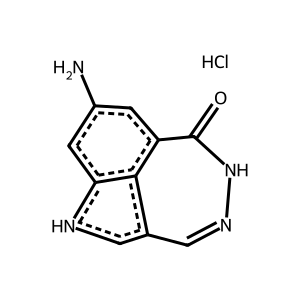 Cl.Nc1cc2c3c(c[nH]c3c1)C=NNC2=O